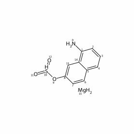 Nc1cccc2ccc(O[SH](=O)=O)cc12.[MgH2]